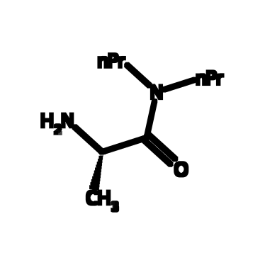 CCCN(CCC)C(=O)[C@H](C)N